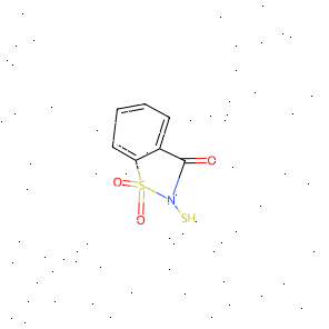 O=C1c2ccccc2S(=O)(=O)N1S